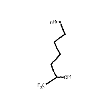 [CH2]CCCCCCCCCC(O)C(F)(F)F